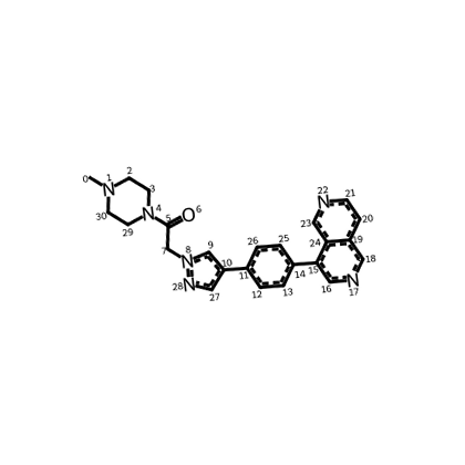 CN1CCN(C(=O)Cn2cc(-c3ccc(-c4cncc5ccncc45)cc3)cn2)CC1